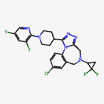 Fc1cnc(N2CCC(c3nnc4n3-c3ccc(Cl)cc3CN(C3CC3(F)F)C4)CC2)c(F)c1